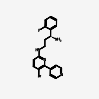 N[C@H](CCNc1ccc(Br)c(-c2ccncc2)n1)c1ccccc1F